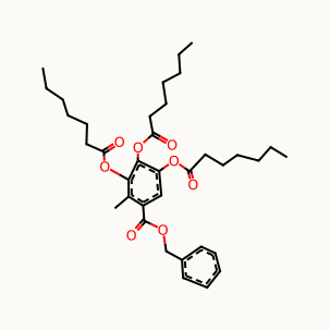 CCCCCCC(=O)Oc1cc(C(=O)OCc2ccccc2)c(C)c(OC(=O)CCCCCC)c1OC(=O)CCCCCC